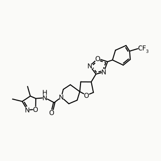 CC1=NOC(NC(=O)N2CCC3(CC2)CC(c2noc(C4C=CC(C(F)(F)F)=CC4)n2)CO3)C1C